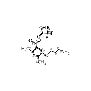 Cc1cc(C)c([N+](=O)[O-])cc1OCCCN.O=C(O)C(F)(F)F